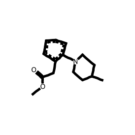 COC(=O)Cc1ccccc1N1CCC(C)CC1